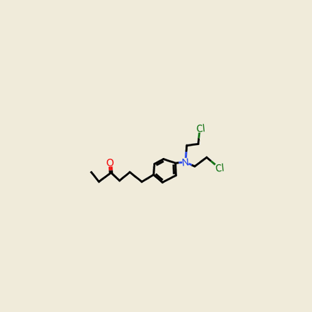 CCC(=O)CCCc1ccc(N(CCCl)CCCl)cc1